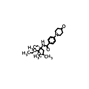 CCOC(=O)[C@](CC)(CC(C)C)NC(=O)c1ccc(N2CCC(=O)CC2)cc1